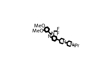 COc1ccc(-c2nc3ccc(C4CCN(C5CCN(C(C)C)CC5)CC4)cc3n2CC(F)F)cc1OC